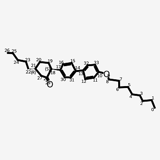 CCCCCCCCCOc1ccc(-c2ccc([C@@H]3CC[C@@H](CCCCC)CC3=O)cc2)cc1